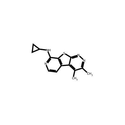 Cc1nnc2sc3c(NC4CC4)nccc3c2c1C